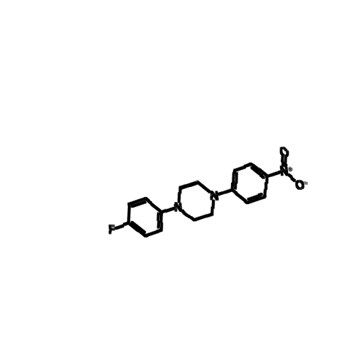 O=[N+]([O-])c1ccc(N2CCN(c3ccc(F)cc3)CC2)cc1